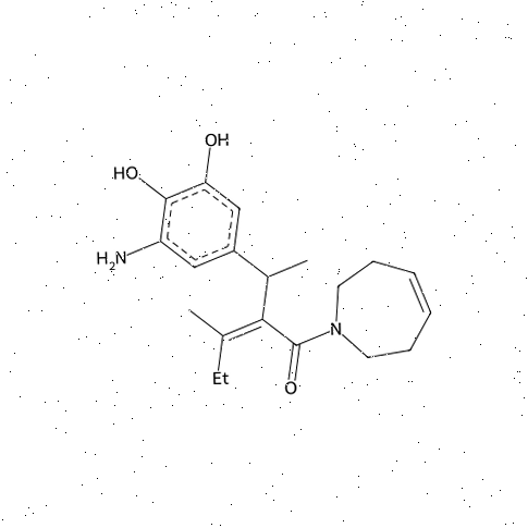 CC/C(C)=C(\C(=O)N1CCC=CCC1)C(C)c1cc(N)c(O)c(O)c1